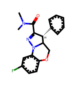 CN(C)C(=O)C1=NN2c3cc(F)ccc3OCC2[C@H]1c1ccccc1